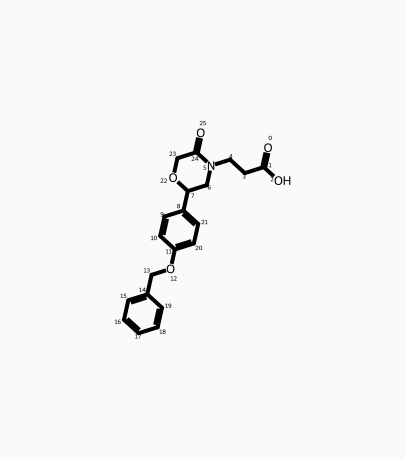 O=C(O)CCN1CC(c2ccc(OCc3ccccc3)cc2)OCC1=O